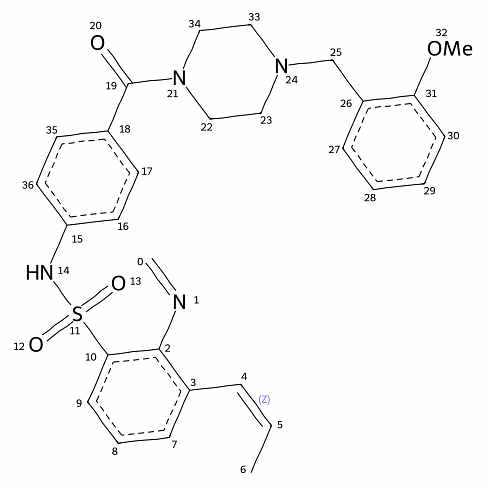 C=Nc1c(/C=C\C)cccc1S(=O)(=O)Nc1ccc(C(=O)N2CCN(Cc3ccccc3OC)CC2)cc1